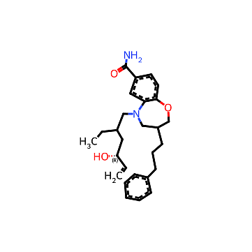 C=C[C@H](O)CC(CC)CN1CC(CCCc2ccccc2)COc2ccc(C(N)=O)cc21